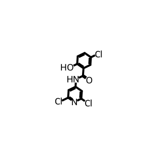 O=C(Nc1cc(Cl)nc(Cl)c1)c1cc(Cl)ccc1O